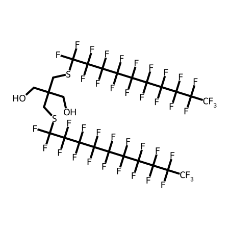 OCC(CO)(CSC(F)(F)C(F)(F)C(F)(F)C(F)(F)C(F)(F)C(F)(F)C(F)(F)C(F)(F)C(F)(F)C(F)(F)F)CSC(F)(F)C(F)(F)C(F)(F)C(F)(F)C(F)(F)C(F)(F)C(F)(F)C(F)(F)C(F)(F)C(F)(F)F